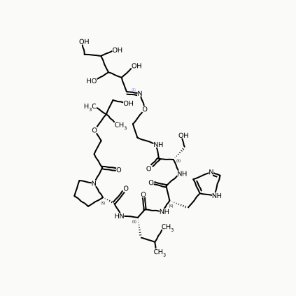 CC(C)C[C@H](NC(=O)[C@@H]1CCCN1C(=O)CCOC(C)(C)CO)C(=O)N[C@@H](Cc1cnc[nH]1)C(=O)N[C@@H](CO)C(=O)NCCO/N=C/C(O)C(O)C(O)CO